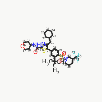 CC(C)(C)c1cc(-c2sc(C(=O)NC3CCOCC3)nc2CC2CCCCC2)ccc1S(=O)(=O)N1CCCC(C(F)(F)F)C1